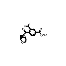 COC(=O)c1ccc(C(=O)N2C=C3CC2CO3)c(C(F)F)c1